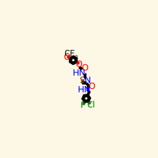 O=C(COc1ccc(OC(F)(F)F)cc1)NCc1nc(C(=O)NCc2ccc(F)c(Cl)c2)cs1